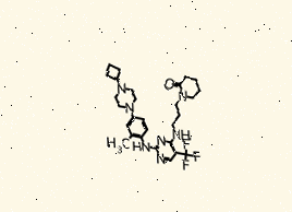 Cc1cc(N2CCN(C3CCC3)CC2)ccc1Nc1ncc(C(F)(F)F)c(NCCCN2CCCCC2=O)n1